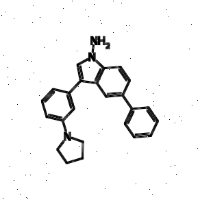 Nn1cc(-c2cccc(N3CCCC3)c2)c2cc(-c3ccccc3)ccc21